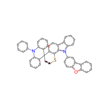 c1ccc(N2c3ccccc3C3(c4ccccc4Sc4c3ccc3c5ccccc5n(-c5ccc6oc7ccccc7c6c5)c43)c3ccccc32)cc1